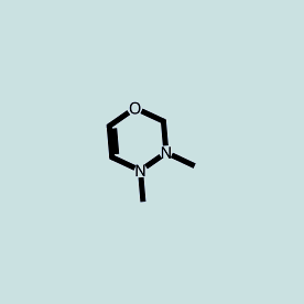 CN1C=COCN1C